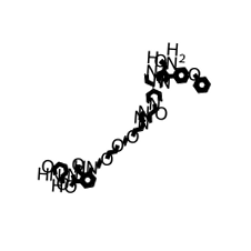 NC(=O)c1c(-c2ccc(Oc3ccccc3)cc2)nn2c1NCC[C@H]2C1CCN(C(=O)c2cn(CCOCCOCCOCCNc3cccc4c3C(=O)N(C3CCC(=O)NC3=O)C4O)nn2)CC1